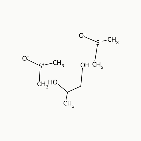 CC(O)CO.C[S+](C)[O-].C[S+](C)[O-]